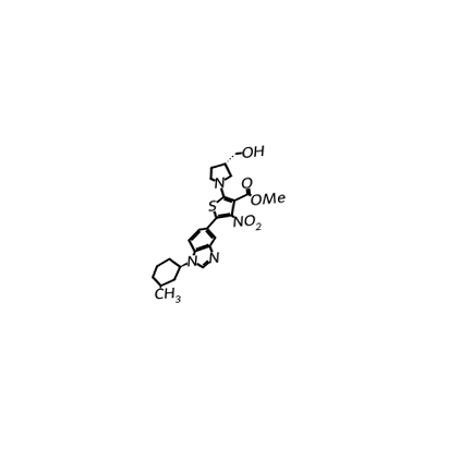 COC(=O)c1c(N2CC[C@H](CO)C2)sc(-c2ccc3c(c2)ncn3[C@@H]2CCC[C@@H](C)C2)c1[N+](=O)[O-]